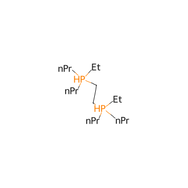 CCC[PH](CC)(CCC)CC[PH](CC)(CCC)CCC